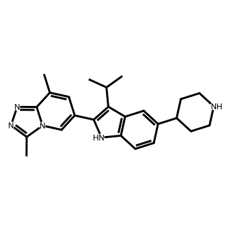 Cc1cc(-c2[nH]c3ccc(C4CCNCC4)cc3c2C(C)C)cn2c(C)nnc12